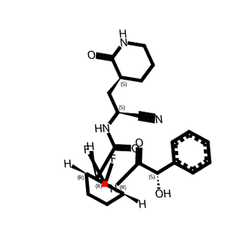 N#C[C@H](C[C@@H]1CCCNC1=O)NC(=O)[C@H]1[C@H]2CC[C@H](CC2(F)F)N1C(=O)[C@@H](O)c1ccccc1